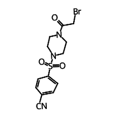 N#Cc1ccc(S(=O)(=O)N2CCN(C(=O)CBr)CC2)cc1